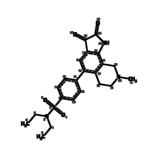 CCN(CC)S(=O)(=O)c1ccc(-c2cc3c(c4c2CCN(C)C4)NC(=O)C3=O)cc1